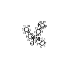 O=C(C(Cc1ccccc1)NCc1ccc(-c2ccccn2)cc1)N1CCC(c2ccccc2)CC1